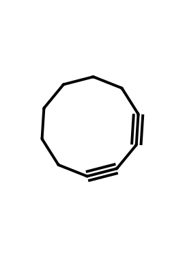 C1#CCCCCCCC#C1